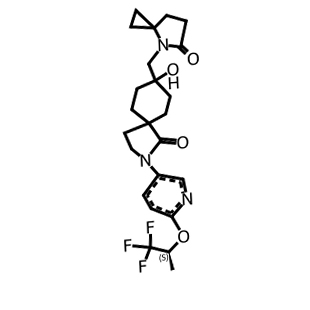 C[C@H](Oc1ccc(N2CCC3(CCC(O)(CN4C(=O)CCC45CC5)CC3)C2=O)cn1)C(F)(F)F